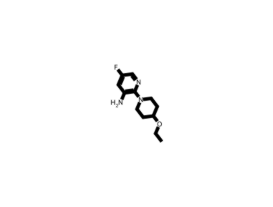 CCOC1CCN(c2ncc(F)cc2N)CC1